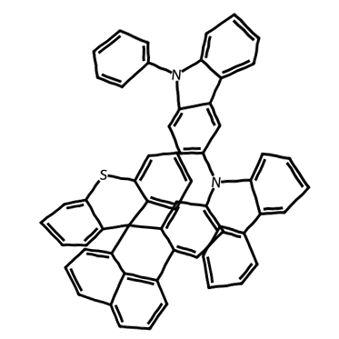 c1ccc(-c2ccccc2N(c2ccc3c(c2)C2(c4ccccc4Sc4ccccc42)c2cccc4cccc-3c24)c2ccc3c(c2)c2ccccc2n3-c2ccccc2)cc1